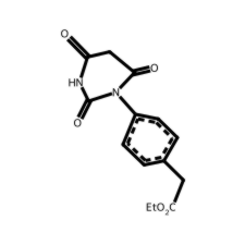 CCOC(=O)Cc1ccc(N2C(=O)CC(=O)NC2=O)cc1